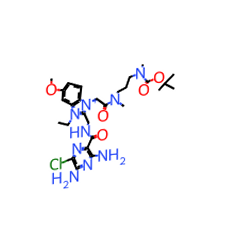 CCn1c(CNC(=O)c2nc(Cl)c(N)nc2N)[n+](CC(=O)N(C)CCCN(C)C(=O)OC(C)(C)C)c2ccc(OC)cc21